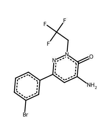 Nc1cc(-c2cccc(Br)c2)nn(CC(F)(F)F)c1=O